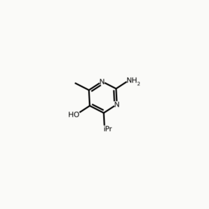 Cc1nc(N)nc(C(C)C)c1O